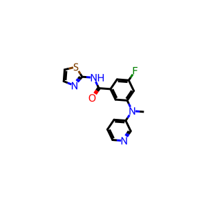 CN(c1cccnc1)c1cc(F)cc(C(=O)Nc2nccs2)c1